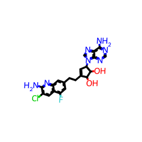 Nc1nc2cc(CCC3=CC(n4cnc5c(N)ncnc54)C(O)C3O)cc(F)c2cc1Cl